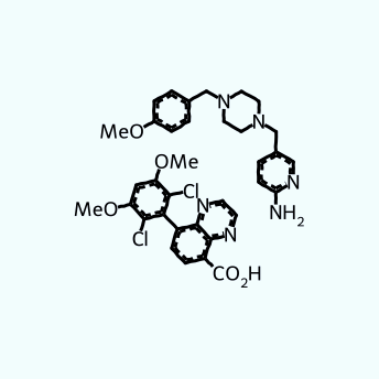 COc1cc(OC)c(Cl)c(-c2ccc(C(=O)O)c3nccnc23)c1Cl.COc1ccc(CN2CCN(Cc3ccc(N)nc3)CC2)cc1